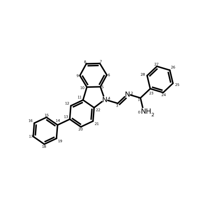 NC(/N=C/n1c2ccccc2c2cc(-c3ccccc3)ccc21)c1ccccc1